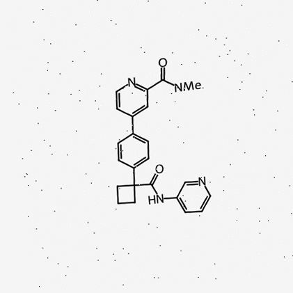 CNC(=O)c1cc(-c2ccc(C3(C(=O)Nc4cccnc4)CCC3)cc2)ccn1